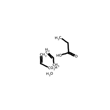 C=CC.C=CC(=O)O.CCC(=O)O.O